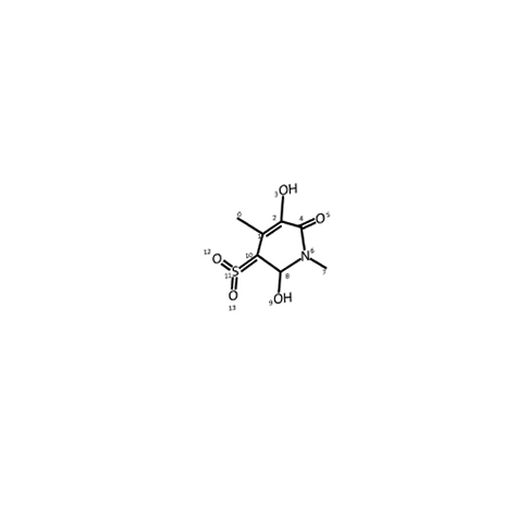 CC1=C(O)C(=O)N(C)C(O)C1=S(=O)=O